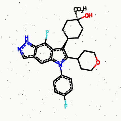 O=C(O)[C@]1(O)CC[C@@H](c2c(C3CCOCC3)n(-c3ccc(F)cc3)c3cc4cn[nH]c4c(F)c32)CC1